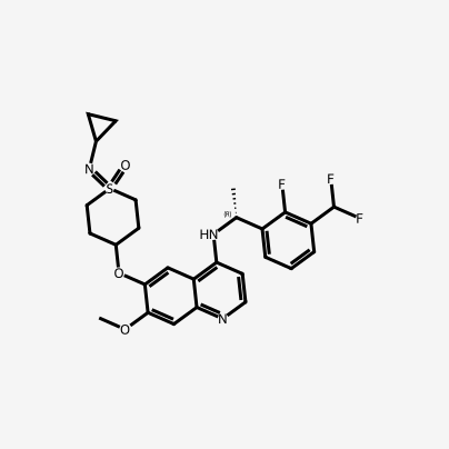 COc1cc2nccc(N[C@H](C)c3cccc(C(F)F)c3F)c2cc1OC1CCS(=O)(=NC2CC2)CC1